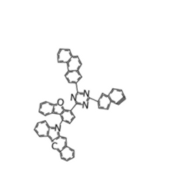 c1ccc2cc(-c3nc(-c4ccc5c(ccc6ccccc65)c4)nc(-c4ccc(-n5c6ccccc6c6cc7ccccc7cc65)c5c4oc4ccccc45)n3)ccc2c#1